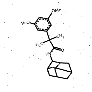 COc1cc(OC)cc(C(C)(C)C(=O)NC2C3CC4CC(C3)CC2C4)c1